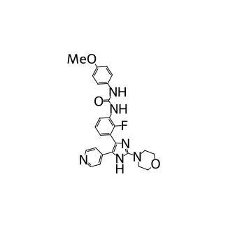 COc1ccc(NC(=O)Nc2cccc(-c3nc(N4CCOCC4)[nH]c3-c3ccncc3)c2F)cc1